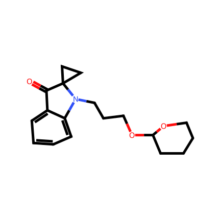 O=C1c2ccccc2N(CCCOC2CCCCO2)C12CC2